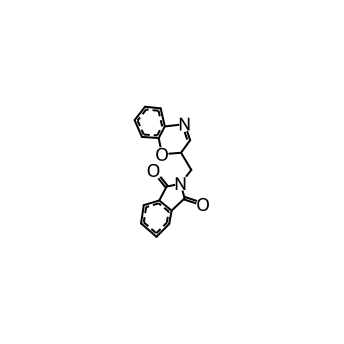 O=C1c2ccccc2C(=O)N1CC1C=Nc2ccccc2O1